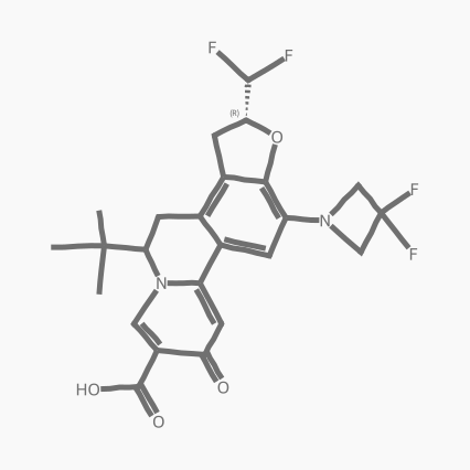 CC(C)(C)C1Cc2c(cc(N3CC(F)(F)C3)c3c2C[C@H](C(F)F)O3)-c2cc(=O)c(C(=O)O)cn21